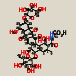 Cc1cc2c(c(O)c1C(=O)NCC(=O)O)-c1c(cc3c(c1O)C(=O)c1cc(O[C@H]4OC[C@H](O)[C@@H](O)[C@@H]4O)cc(O)c1C3=O)[C@H](O)[C@H]2O[C@@H]1O[C@H](C)[C@H](O)[C@H](O)[C@H]1O